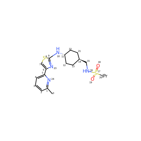 Cc1cccc(-c2csc(N[C@H]3CC[C@H](CNS(=O)(=O)C(C)C)CC3)n2)n1